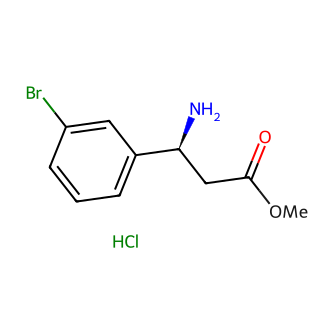 COC(=O)C[C@H](N)c1cccc(Br)c1.Cl